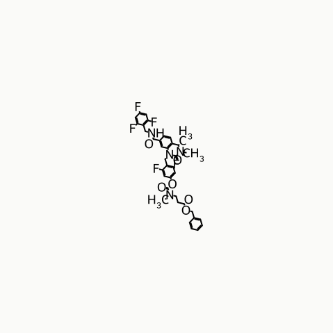 C[C@H]1c2ccc(C(=O)NCc3c(F)cc(F)cc3F)cc2N(Cc2c(F)cc(OC(=O)N(C)CCC(=O)OCc3ccccc3)cc2F)C(=O)N1C